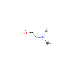 CCCCN(CCO)C(C)=O